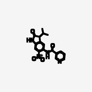 CC(C)C1C(=O)Nc2cc([N+](=O)[O-])c(NC(=O)c3cccnc3)cc21